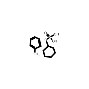 Cc1ccccc1.O=P(O)(O)OC1CCCCC1